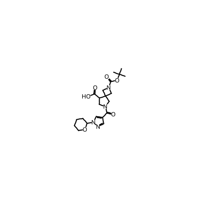 CC(C)(C)OC(=O)N1CC2(C1)CN(C(=O)c1cnn(C3CCCCO3)c1)CC2C(=O)O